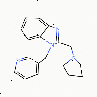 c1cncc(Cn2c(CN3CCCC3)nc3ccccc32)c1